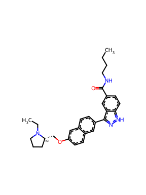 CCCCNC(=O)c1ccc2[nH]nc(-c3ccc4cc(OC[C@@H]5CCCN5CC)ccc4c3)c2c1